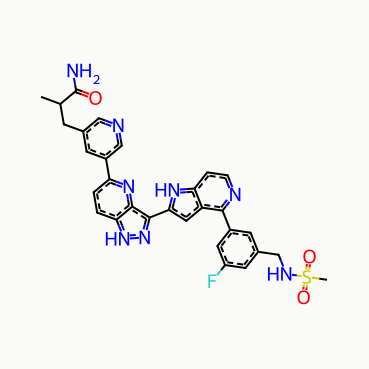 CC(Cc1cncc(-c2ccc3[nH]nc(-c4cc5c(-c6cc(F)cc(CNS(C)(=O)=O)c6)nccc5[nH]4)c3n2)c1)C(N)=O